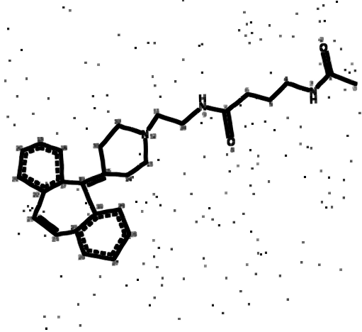 CC(=O)NCCCC(=O)NCCN1CCC(=C2c3ccccc3C=Cc3ccccc32)CC1